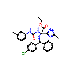 CCOC(=O)C1(NC(=O)Nc2cccc(C)c2)N=C(c2ccc(Cl)cc2)c2ccccc2-n2c(C)nnc21